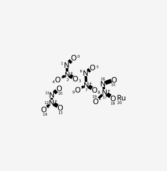 O=N[N+](=O)[O-].O=N[N+](=O)[O-].O=N[N+](=O)[O-].O=N[N+](=O)[O-].[Ru]